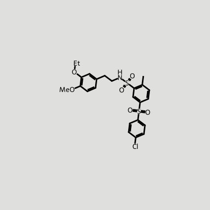 CCOc1cc(CCNS(=O)(=O)c2cc(S(=O)(=O)c3ccc(Cl)cc3)ccc2C)ccc1OC